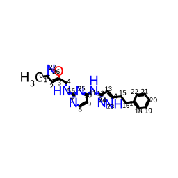 Cc1cc(CNc2nccc(Nc3cc(CCc4ccccc4)[nH]n3)n2)on1